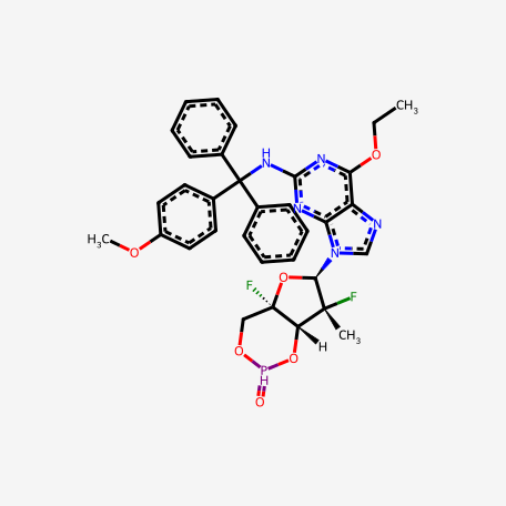 CCOc1nc(NC(c2ccccc2)(c2ccccc2)c2ccc(OC)cc2)nc2c1ncn2[C@@H]1O[C@]2(F)CO[PH](=O)O[C@H]2[C@@]1(C)F